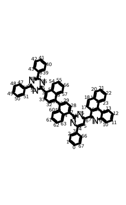 c1ccc(-c2cc(-c3nc4ccccc4c4c3ccc3ccccc34)nc(-c3ccc(-c4ccc(-c5nc(-c6ccccc6)nc(-c6ccccc6)n5)c5ccccc45)c4ccccc34)n2)cc1